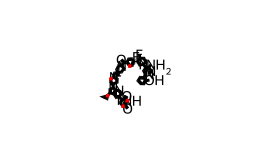 Nc1nnc(-c2ccccc2O)cc1N1CCC(F)(F)[C@H](c2ccc(C(=O)N3CCC(F)(CN4CCC(n5cc(C6CC6)c6cc(N7CCC(=O)NC7=O)cnc65)CC4)CC3)cc2)C1